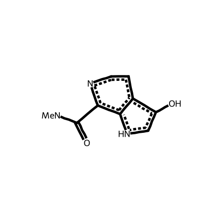 CNC(=O)c1nccc2c(O)c[nH]c12